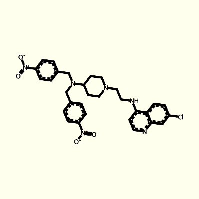 O=[N+]([O-])c1ccc(CN(Cc2ccc([N+](=O)[O-])cc2)C2CCN(CCNc3ccnc4cc(Cl)ccc34)CC2)cc1